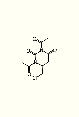 CC(=O)N1C(=O)CC(CCl)N(C(C)=O)C1=O